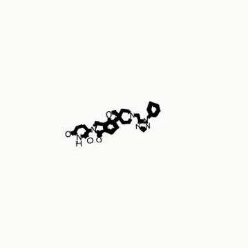 O=C1CCC(N2Cc3c(ccc4c3OCC43CCN(Cc4ncnn4-c4ccccc4)CC3)C2=O)C(=O)N1